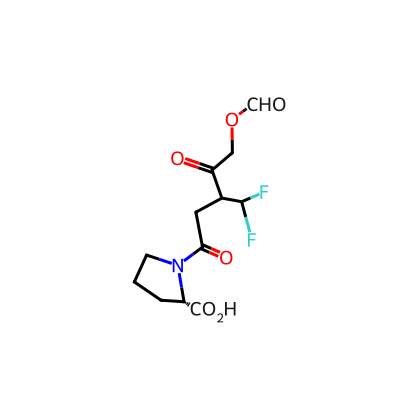 O=COCC(=O)C(CC(=O)N1CCC[C@H]1C(=O)O)C(F)F